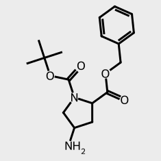 CC(C)(C)OC(=O)N1CC(N)CC1C(=O)OCc1ccccc1